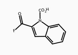 O=C(F)c1cc2ccccc2n1C(=O)O